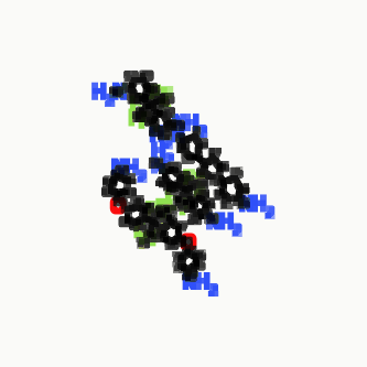 Nc1ccc(-c2ccc(-c3ccc(N)cc3)cc2)cc1.Nc1ccc(C(c2ccc(N)cc2)(C(F)(F)F)C(F)(F)F)cc1.Nc1ccc(Oc2ccc(C(c3ccc(Oc4ccc(N)cc4)cc3)(C(F)(F)F)C(F)(F)F)cc2)cc1.Nc1cccc(C(c2cccc(N)c2)(C(F)(F)F)C(F)(F)F)c1